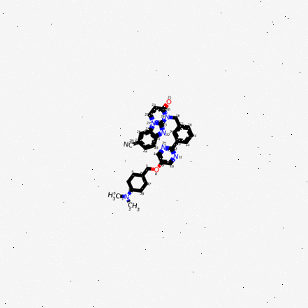 CN(C)C1CCC(COc2cnc(-c3cccc(Cn4c(=O)ccn5c6cc(C#N)ccc6nc45)c3)nc2)CC1